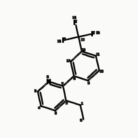 CCc1cccnc1-c1cccc(C(F)(F)F)c1